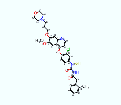 COc1cc2c(Oc3ccc(N(S)C(=O)NC(=O)Cc4ccccc4C)cc3Cl)ccnc2cc1OCCCN1CCOCC1